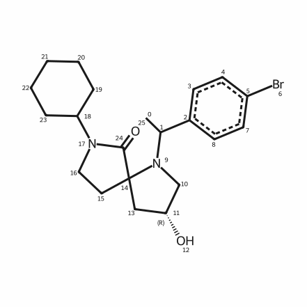 CC(c1ccc(Br)cc1)N1C[C@H](O)CC12CCN(C1CCCCC1)C2=O